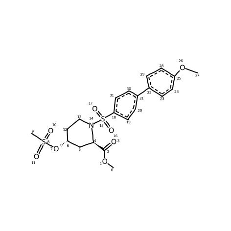 COC(=O)[C@H]1C[C@H](OS(C)(=O)=O)CCN1S(=O)(=O)c1ccc(-c2ccc(OC)cc2)cc1